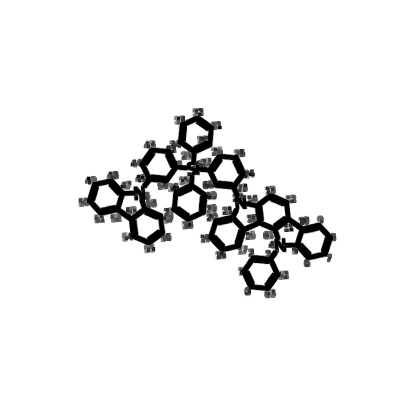 c1ccc(-n2c3ccccc3c3ccc4c(c5ccccc5n4-c4cccc([Si](c5ccccc5)(c5ccccc5)c5cccc(-n6c7ccccc7c7ccccc76)c5)c4)c32)cc1